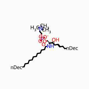 CCCCCCCCCCCCC=CC[C@@H](O)[C@H](COP(=O)([O-])OCC[N+](C)(C)C)NC(=O)CCCCCCCCCCCCCCCCCCCCC